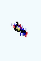 C/C=C\C1=C(C(N)=O)C2=C1NC(=O)/C2=C1\C=CC(C)C(C2C=C/C(=C3/C(=O)Nc4c3ccc3c5c(ccc43)C(=O)C(=O)N5)S2)S1